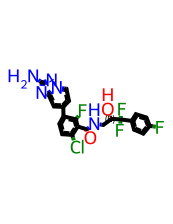 Nc1nc2cc(-c3ccc(Cl)c(C(=O)NC[C@@H](O)C(F)(F)c4ccc(F)cc4)c3F)ccn2n1